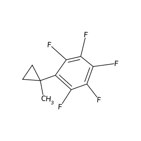 CC1(c2c(F)c(F)c(F)c(F)c2F)CC1